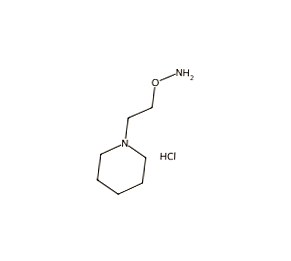 Cl.NOCCN1CCCCC1